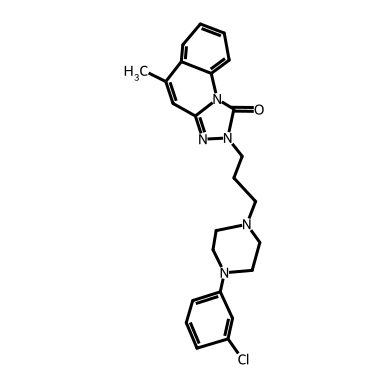 Cc1cc2nn(CCCN3CCN(c4cccc(Cl)c4)CC3)c(=O)n2c2ccccc12